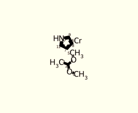 COC(C)OC.[Cr].c1cc[nH]c1